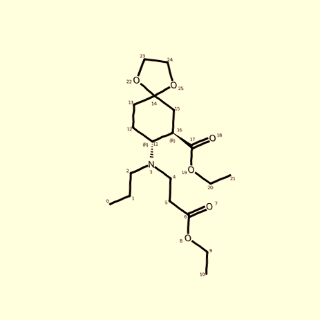 CCCN(CCC(=O)OCC)[C@@H]1CCC2(C[C@H]1C(=O)OCC)OCCO2